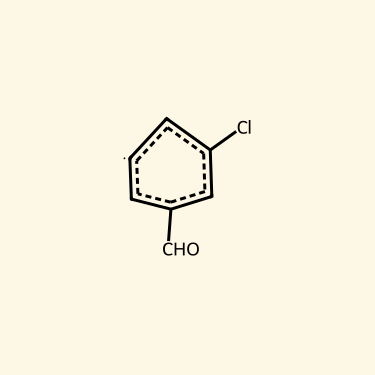 O=Cc1c[c]cc(Cl)c1